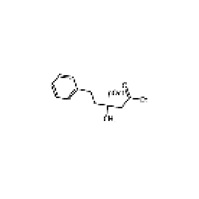 CCCCCCCC[C@](C)(CCc1ccccc1)CC(=O)CC